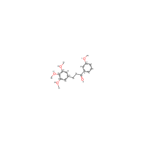 COc1cccc(C(=O)CCc2cc(OC)c(OC)c(OC)c2)c1